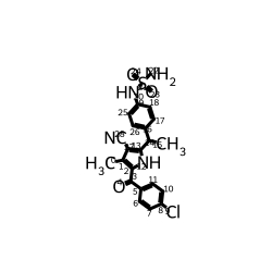 Cc1c(C(=O)c2ccc(Cl)cc2)[nH]c(C(C)c2ccc(NS(N)(=O)=O)cc2)c1C#N